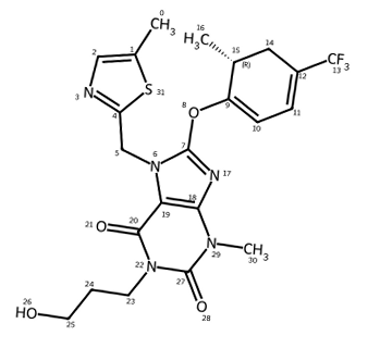 Cc1cnc(Cn2c(OC3=CC=C(C(F)(F)F)C[C@H]3C)nc3c2c(=O)n(CCCO)c(=O)n3C)s1